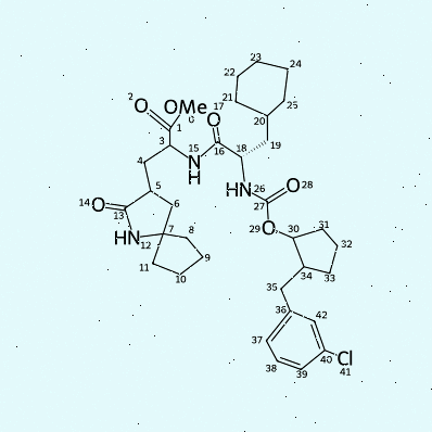 COC(=O)C(CC1CC2(CCCC2)NC1=O)NC(=O)[C@H](CC1CCCCC1)NC(=O)OC1CCCC1Cc1cccc(Cl)c1